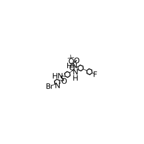 CC(C)(C)OC(=O)Nc1ccc(-c2ccc(F)cc2)cc1NC(=O)c1ccc(S(=N)(=O)c2ccc(Br)nc2)cc1